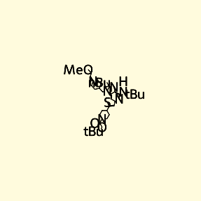 CCCCc1nc2c(NC(C)(C)C)nc3cc(C4CCN(C(=O)OC(C)(C)C)CC4)sc3c2n1CC1CCN(CCOC)CC1